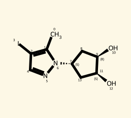 Cc1c(I)cnn1[C@@H]1C[C@@H](O)[C@@H](O)C1